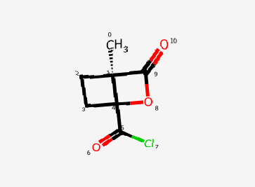 C[C@@]12CCC1(C(=O)Cl)OC2=O